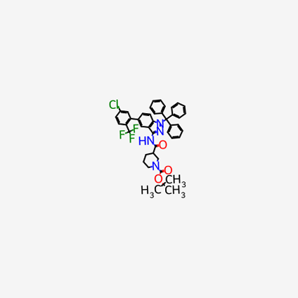 CC(C)(C)OC(=O)N1CCCC(C(=O)Nc2nn(C(c3ccccc3)(c3ccccc3)c3ccccc3)c3ccc(-c4cc(Cl)ccc4C(F)(F)F)cc23)C1